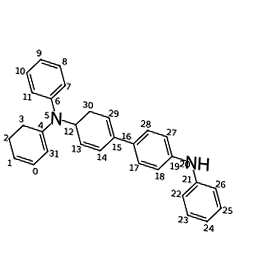 C1=CCCC(N(c2ccccc2)C2C=CC(c3ccc(Nc4ccccc4)cc3)=CC2)=C1